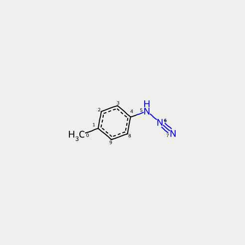 Cc1ccc(N[N+]#N)cc1